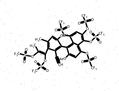 C#Cc1c(/C(OS(=O)(=O)C(F)(F)F)=C(\C)OS(=O)(=O)C(F)(F)F)c(C)cc(OC)c1-c1c(OC)cc(OS(=O)(=O)C(F)(F)F)c2c(OS(=O)(=O)C(F)(F)F)c(OS(=O)(=O)C(F)(F)F)cc(OS(=O)(=O)C(F)(F)F)c12